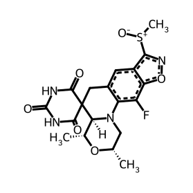 C[C@H]1CN2c3c(cc4c([S+](C)[O-])noc4c3F)CC3(C(=O)NC(=O)NC3=O)[C@@H]2[C@@H](C)O1